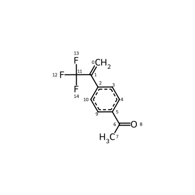 C=C(c1ccc(C(C)=O)cc1)C(F)(F)F